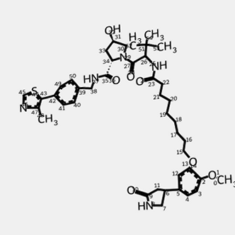 COc1ccc(C2CNC(=O)C2)cc1OCCCCCCCCC(=O)NC(C(=O)N1C[C@H](O)C[C@H]1C(=O)NCc1ccc(-c2scnc2C)cc1)C(C)(C)C